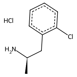 C[C@@H](N)Cc1ccccc1Cl.Cl